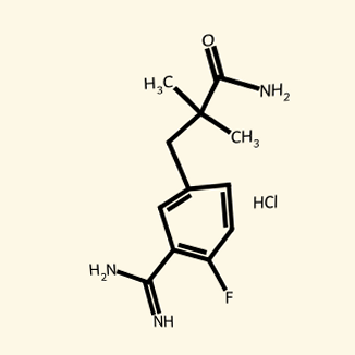 CC(C)(Cc1ccc(F)c(C(=N)N)c1)C(N)=O.Cl